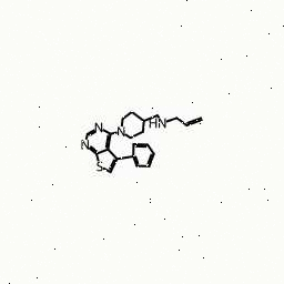 C=CCNCC1CCN(c2ncnc3scc(-c4ccccc4)c23)CC1